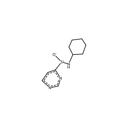 [O-][S+](NC1CCCCC1)c1ccncn1